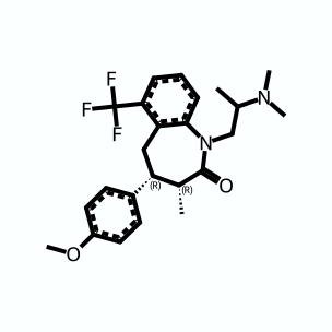 COc1ccc([C@@H]2Cc3c(cccc3C(F)(F)F)N(CC(C)N(C)C)C(=O)[C@@H]2C)cc1